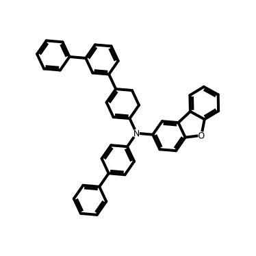 C1=C(c2cccc(-c3ccccc3)c2)CCC(N(c2ccc(-c3ccccc3)cc2)c2ccc3oc4ccccc4c3c2)=C1